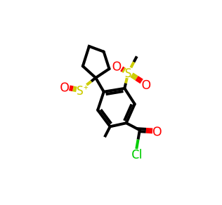 Cc1cc(C2([S+]=O)CCCC2)c(S(C)(=O)=O)cc1C(=O)Cl